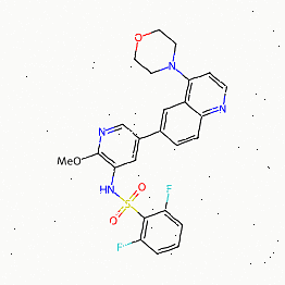 COc1ncc(-c2ccc3nccc(N4CCOCC4)c3c2)cc1NS(=O)(=O)c1c(F)cccc1F